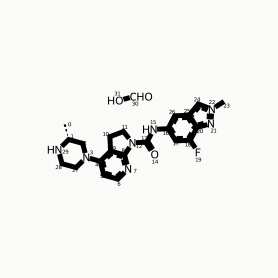 C[C@@H]1CN(c2ccnc3c2CCN3C(=O)Nc2cc(F)c3nn(C)cc3c2)CCN1.O=CO